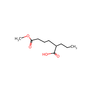 CCCC(CCCC(=O)OC)C(=O)O